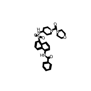 O=C(Nc1cccc2c(S(=O)(=O)NC3CCN(C(=O)N4CCOCC4)CC3)cccc12)c1ccccc1